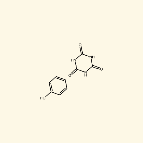 O=c1[nH]c(=O)[nH]c(=O)[nH]1.Oc1ccccc1